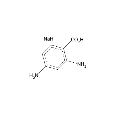 Nc1ccc(C(=O)O)c(N)c1.[NaH]